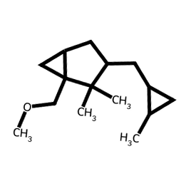 COCC12CC1CC(CC1CC1C)C2(C)C